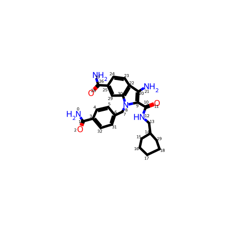 NC(=O)c1ccc(Cn2c(C(=O)NCC3CCCCC3)c(N)c3ccc(C(N)=O)cc32)cc1